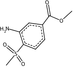 COC(=O)c1ccc(S(C)(=O)=O)c(N)c1